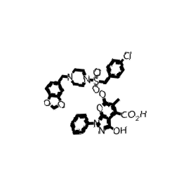 Cc1c(C(=O)O)c2c(O)nn(-c3ccccc3)c2oc1=O.O=S(=O)(Cc1ccc(Cl)cc1)N1CCN(Cc2ccc3c(c2)OCO3)CC1